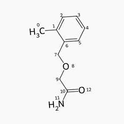 Cc1ccccc1COCC(N)=O